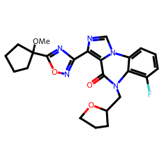 COC1(c2nc(-c3ncn4c3c(=O)n(CC3CCCO3)c3c(F)cccc34)no2)CCCC1